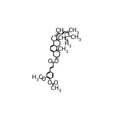 COc1cc(C=CC(=O)O[C@H]2CC[C@@]3(C)C(=CC=C4C3CC[C@@]3(C)C4CC[C@@H]3[C@H](C)C=C[C@H](C)C(C)C)C2)ccc1OC(C)=O